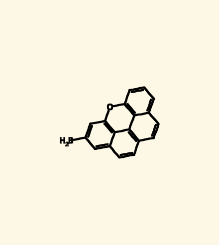 Bc1cc2c3c(ccc4ccc5cccc(c5c43)O2)c1